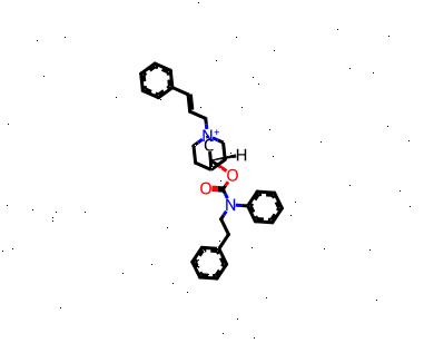 O=C(O[C@H]1C[N+]2(CC=Cc3ccccc3)CCC1CC2)N(CCc1ccccc1)c1ccccc1